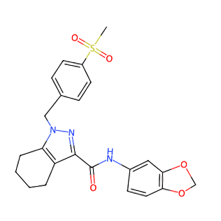 CS(=O)(=O)c1ccc(Cn2nc(C(=O)Nc3ccc4c(c3)OCO4)c3c2CCCC3)cc1